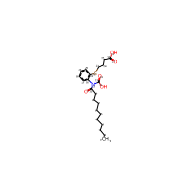 CCCCCCCCCCC(=O)N(C(=O)O)c1ccccc1SCCCC(=O)O